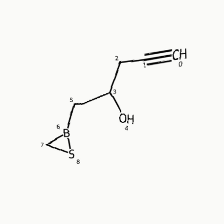 C#CCC(O)CB1CS1